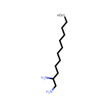 CCCCCCCCCCCCCCCCCC(N)CN